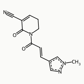 Cn1cc(/C=C/C(=O)N2CCC=C(C#N)C2=O)cn1